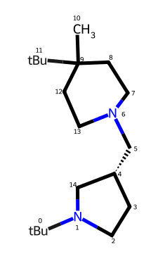 CC(C)(C)N1CC[C@@H](CN2CCC(C)(C(C)(C)C)CC2)C1